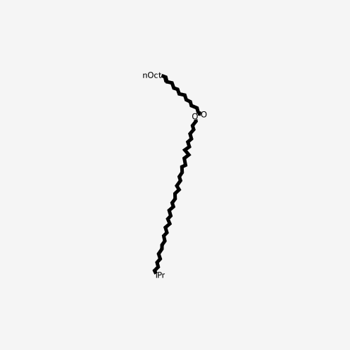 CCCCCCCCC=CCCCCCCCCCC(=O)OCCCCCCCCCCCCCCCCCCCCCCCCCCCCCCCCCCCCC(C)C